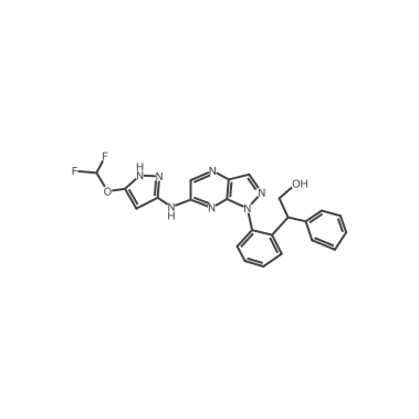 OCC(c1ccccc1)c1ccccc1-n1ncc2ncc(Nc3cc(OC(F)F)[nH]n3)nc21